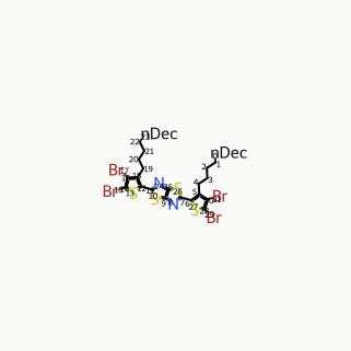 CCCCCCCCCCCCCCc1c(-c2nc3sc(-c4sc(Br)c(Br)c4CCCCCCCCCCCCCC)nc3s2)sc(Br)c1Br